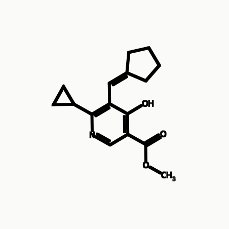 COC(=O)c1cnc(C2CC2)c(C=C2CCCC2)c1O